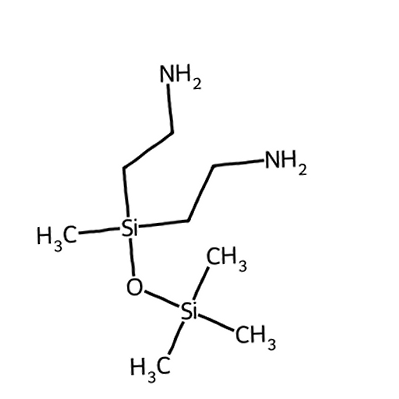 C[Si](C)(C)O[Si](C)(CCN)CCN